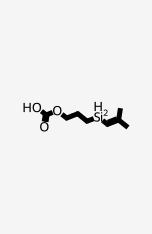 CC(C)=C[SiH2]CCCOC(=O)O